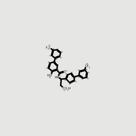 O=C(O)CC(NC(=O)c1cc(-c2cccc(C(F)(F)F)c2)ccc1O)c1ccc(-c2cccc(C(F)(F)F)c2)cc1